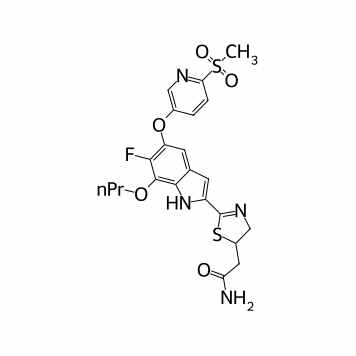 CCCOc1c(F)c(Oc2ccc(S(C)(=O)=O)nc2)cc2cc(C3=NCC(CC(N)=O)S3)[nH]c12